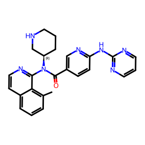 Cc1cccc2ccnc(N(C(=O)c3ccc(Nc4ncccn4)nc3)[C@@H]3CCCNC3)c12